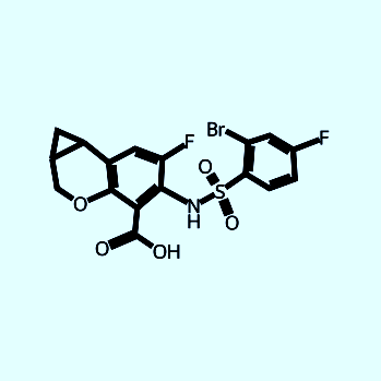 O=C(O)c1c(NS(=O)(=O)c2ccc(F)cc2Br)c(F)cc2c1OCC1CC21